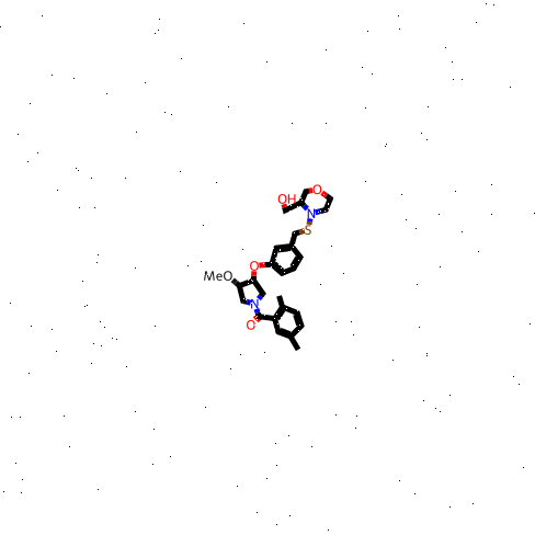 COC1CN(C(=O)c2cc(C)ccc2C)CC1Oc1cccc(CSN2CCOCC2CO)c1